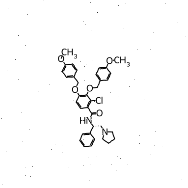 COc1ccc(COc2ccc(C(=O)N[C@H](CN3CCCC3)c3ccccc3)c(Cl)c2OCc2ccc(OC)cc2)cc1